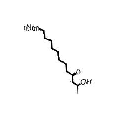 CCCCCCCCCCCCCCCCCC(=O)[CH]C(C)O